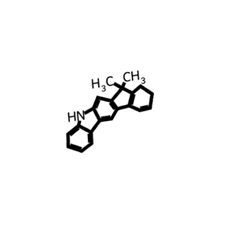 CC1(C)C2=C(C=CCC2)c2cc3c(cc21)[nH]c1ccccc13